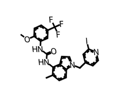 COc1ccc(C(F)(F)F)cc1NC(=O)Nc1c(C)ccc2c1ccn2Cc1ccnc(I)c1